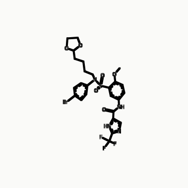 COc1ccc(NC(=O)c2cnc(C(F)(F)F)[nH]2)cc1S(=O)(=O)N(CCCCC1OCCO1)c1ccc(Br)cc1